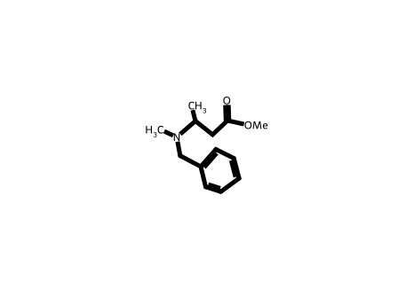 COC(=O)CC(C)N(C)Cc1ccccc1